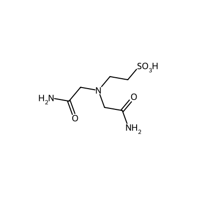 NC(=O)CN(CCS(=O)(=O)O)CC(N)=O